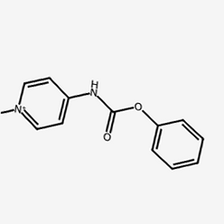 O=C(Nc1cc[n+]([O-])cc1)Oc1ccccc1